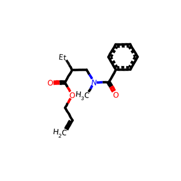 C=CCOC(=O)C(CC)CN(C)C(=O)c1ccccc1